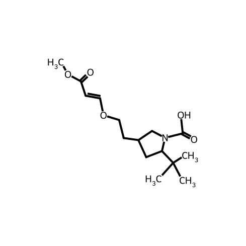 COC(=O)C=COCCC1CC(C(C)(C)C)N(C(=O)O)C1